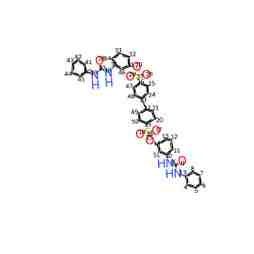 O=C(Nc1ccccc1)Nc1cccc(OS(=O)(=O)c2ccc(-c3ccc(S(=O)(=O)Oc4cccc(NC(=O)Nc5ccccc5)c4)cc3)cc2)c1